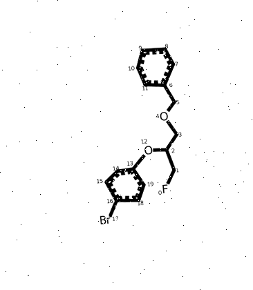 FCC(COCc1ccccc1)Oc1ccc(Br)cc1